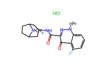 CCCn1nc(C(=O)NC2CC3CCC(C2)N3C)c(=O)c2c(F)cccc21.Cl